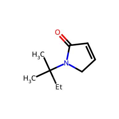 CCC(C)(C)N1CC=CC1=O